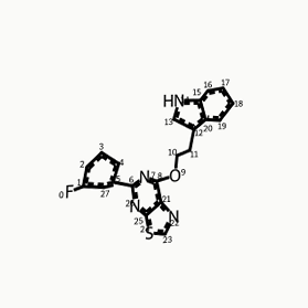 Fc1cccc(-c2nc(OCCc3c[nH]c4ccccc34)c3ncsc3n2)c1